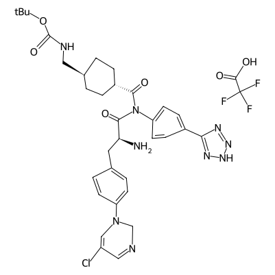 CC(C)(C)OC(=O)NC[C@H]1CC[C@H](C(=O)N(C(=O)[C@@H](N)Cc2ccc(N3C=C(Cl)C=NC3)cc2)c2ccc(-c3nn[nH]n3)cc2)CC1.O=C(O)C(F)(F)F